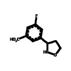 O=C(O)c1cc(F)cc(C2CCON2)c1